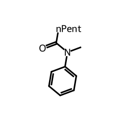 CCCCCC(=O)N(C)c1ccccc1